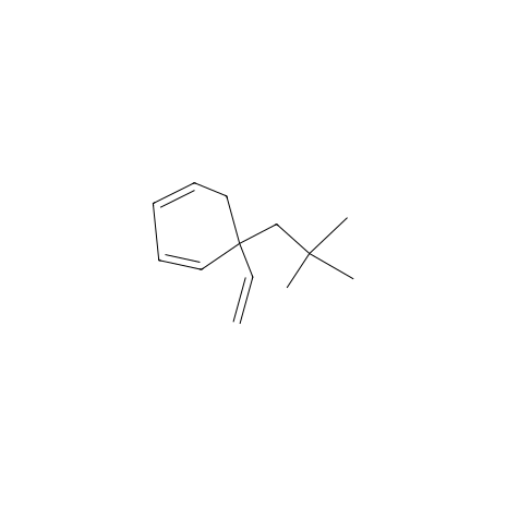 C=CC1(CC(C)(C)C)C=CC=CC1